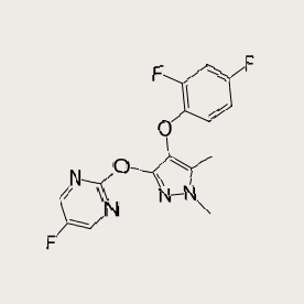 Cc1c(Oc2ccc(F)cc2F)c(Oc2ncc(F)cn2)nn1C